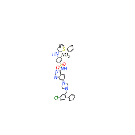 CC(C)CC(CSc1ccccc1)Nc1ccc(S(=O)(=O)Nc2ncnc3cc(N4CCN(Cc5cc(Cl)ccc5-c5ccccc5)CC4)ccc23)cc1[N+](=O)[O-]